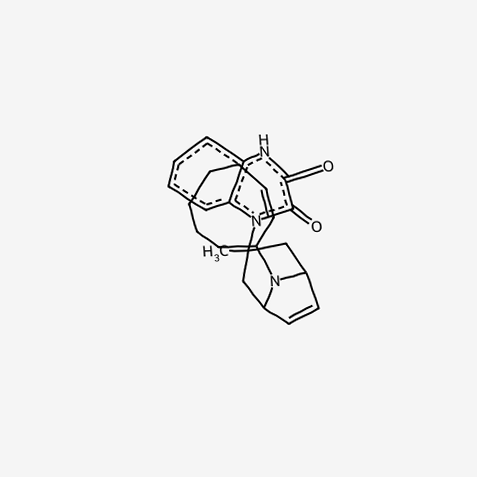 CC1(n2c(=O)c(=O)[nH]c3ccccc32)CC2C=CC(C1)N2C1/C=C\CCCCC1